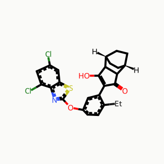 CCc1ccc(Oc2nc3c(Cl)cc(Cl)cc3s2)cc1C1=C(O)C2C(C1=O)[C@H]1CC[C@@H]2CC1